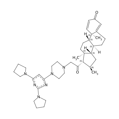 C[C@@H]1C[C@H]2[C@@H]3CCC4=CC(=O)C=C[C@]4(C)[C@H]3CC[C@]2(C)[C@H]1C(=O)CN1CCN(c2cc(N3CCCC3)nc(N3CCCC3)n2)CC1